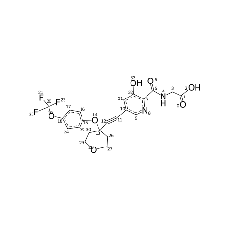 O=C(O)CNC(=O)c1ncc(C#CC2(Oc3ccc(OC(F)(F)F)cc3)CCOCC2)cc1O